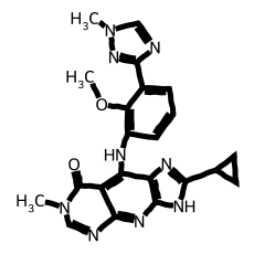 COc1c(Nc2c3nc(C4CC4)[nH]c3nc3ncn(C)c(=O)c23)cccc1-c1ncn(C)n1